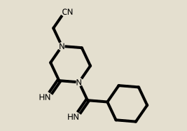 N#CCN1CCN(C(=N)C2CCCCC2)C(=N)C1